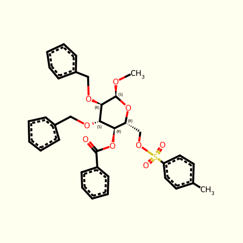 CO[C@H]1O[C@H](COS(=O)(=O)c2ccc(C)cc2)[C@@H](OC(=O)c2ccccc2)[C@H](OCc2ccccc2)[C@H]1OCc1ccccc1